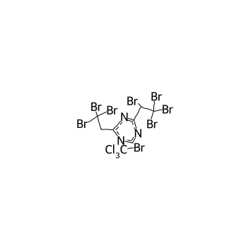 BrC(c1ncnc(CC(Br)(Br)Br)n1)C(Br)(Br)Br.ClC(Cl)(Cl)Br